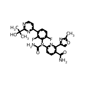 Cc1nc(-c2nc(N(C(N)=O)c3c(F)ccc(-c4ccnc(C(C)(C)O)n4)c3F)ccc2C(N)=O)co1